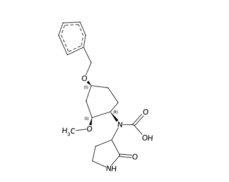 CO[C@H]1C[C@@H](OCc2ccccc2)CC[C@H]1N(C(=O)O)C1CCNC1=O